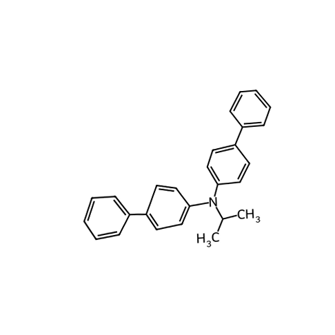 CC(C)N(c1ccc(-c2ccccc2)cc1)c1ccc(-c2ccccc2)cc1